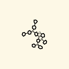 c1ccc(-c2ccc(N(c3ccc(-c4ccccc4)cc3)c3ccc4c(c3)Oc3cccc5c3B4c3ccc(N(c4ccccc4)c4ccccc4)cc3N5c3ccccc3)cc2)cc1